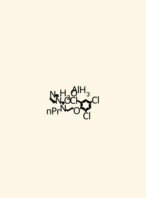 CCCN(CCOc1c(Cl)cc(Cl)cc1Cl)C(=O)n1ccnc1.O.[AlH3]